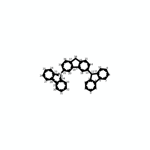 c1ccc2c(c1)-c1ccccc1C2c1ccc2c(c1)-c1cc(-n3c4ccccc4c4ccccc43)ccc1C2